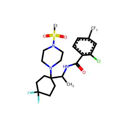 CCS(=O)(=O)N1CCN(C2(C(C)NC(=O)c3ccc(C(F)(F)F)cc3Cl)CCC(F)(F)CC2)CC1